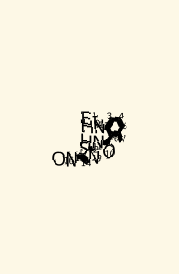 CCNc1cccc(C)c1C(=O)Nc1ncc(N=O)s1